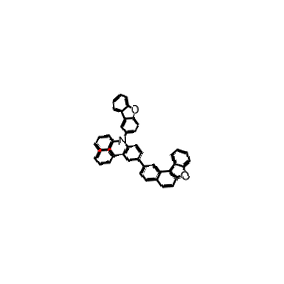 c1ccc(-c2cc(-c3ccc4ccc5oc6ccccc6c5c4c3)ccc2N(c2ccccc2)c2ccc3oc4ccccc4c3c2)cc1